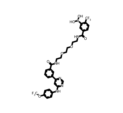 O=C(NCCOCCOCCNC(=O)c1ccc(C(F)(F)F)c(B(O)O)c1)c1cccc(-c2cc(Nc3ccc(OC(F)(F)F)cc3)ncn2)c1